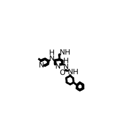 Cc1cc(Nc2cnc(NC(=O)NC3CCCC(c4ccccc4)C3)cc2C=N)ccn1